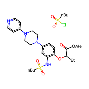 CCCCS(=O)(=O)Cl.CCCCS(=O)(=O)Nc1cc(N2CCN(c3ccncc3)CC2)ccc1OC(CC)C(=O)OC